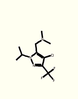 CC(C)n1nc(C(F)(F)F)c(Cl)c1CN(C)C